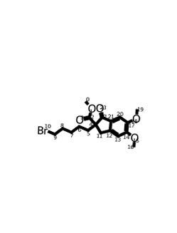 COC(=O)C1(CCCCCBr)Cc2cc(OC)c(OC)cc2C1=O